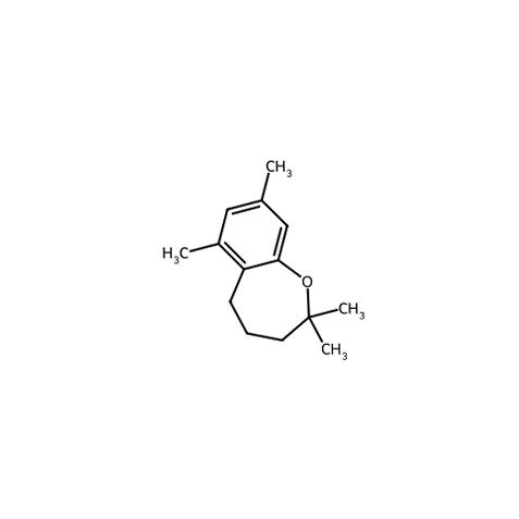 Cc1cc(C)c2c(c1)OC(C)(C)CCC2